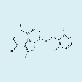 CCc1ccc(OCc2c(F)cccc2F)c2nc(C)c(C(=O)O)n12